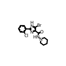 O=C(NN1CCCCC1)c1nc(-c2ccccc2Cl)[nH]c1Br